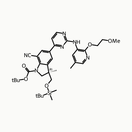 COCCOc1ncc(C)cc1Nc1nccc(-c2cc(C#N)c3c(c2)[C@@](C)(CO[Si](C)(C)C(C)(C)C)CN3C(=O)OC(C)(C)C)n1